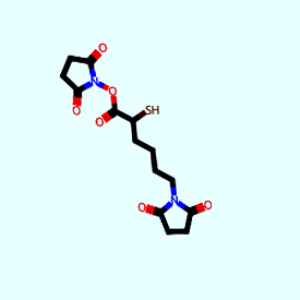 O=C(ON1C(=O)CCC1=O)C(S)CCCCN1C(=O)CCC1=O